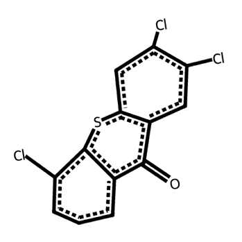 O=c1c2cc(Cl)c(Cl)cc2sc2c(Cl)cccc12